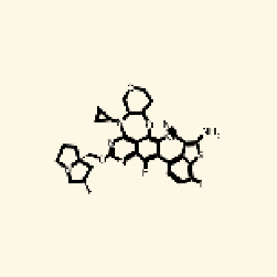 C[C@H]1CN2CCC[C@@]2(COc2nc3c4c(c(Cl)c(-c5ccc(F)c6sc(N)c(C#N)c56)c(F)c4n2)OC2CCOCC2N3C2CC2)C1